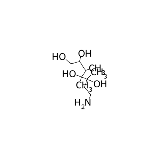 CC(C(O)CO)C(C)(O)C(C)(O)CCN